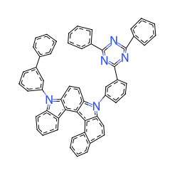 c1ccc(-c2cccc(-n3c4ccccc4c4c5c6c7ccccc7ccc6n(-c6cccc(-c7nc(-c8ccccc8)nc(-c8ccccc8)n7)c6)c5ccc43)c2)cc1